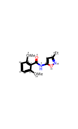 CCc1cc(NC(=O)c2c(OC)cccc2OC)on1